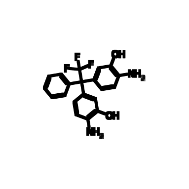 Nc1ccc(C(c2ccccc2)(c2ccc(N)c(O)c2)C(F)(F)F)cc1O